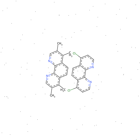 Cc1cnc2c(ccc3c(C)c(C)cnc32)c1C.Clc1ccnc2c1ccc1c(Cl)ccnc12